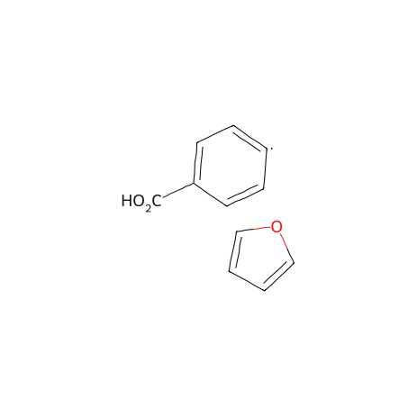 O=C(O)c1cc[c]cc1.c1ccoc1